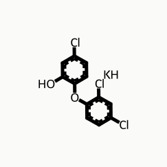 Oc1cc(Cl)ccc1Oc1ccc(Cl)cc1Cl.[KH]